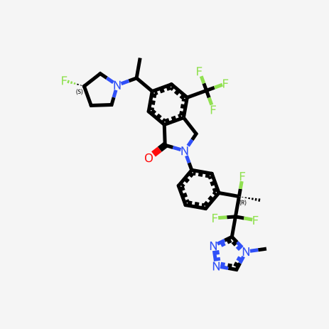 CC(c1cc2c(c(C(F)(F)F)c1)CN(c1cccc([C@@](C)(F)C(F)(F)c3nncn3C)c1)C2=O)N1CC[C@H](F)C1